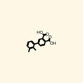 Cc1cccc(-c2ccc(C(=O)O)c(C(=O)O)c2)c1C